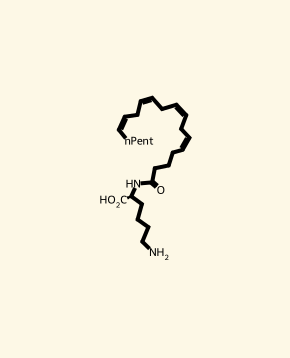 CCCCC/C=C\C/C=C\C/C=C\C/C=C\CCCC(=O)N[C@@H](CCCCN)C(=O)O